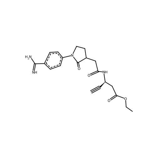 C#C[C@H](CC(=O)OCC)NC(=O)CC1CCN(c2ccc(C(=N)N)cc2)C1=O